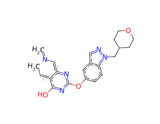 C=N/C=c1/nc(Oc2ccc3c(cnn3CC3CCOCC3)c2)nc(O)/c1=C/C